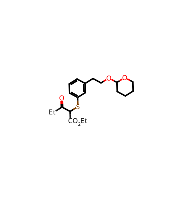 CCOC(=O)C(Sc1cccc(CCOC2CCCCO2)c1)C(=O)CC